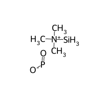 C[N+](C)(C)[SiH3].O=P[O-]